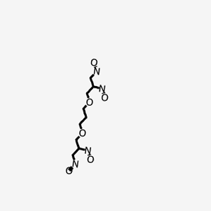 O=NCC(COCCCOCC(CN=O)N=O)N=O